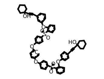 O=S(=O)(c1ccc(Oc2ccc(Oc3ccc(S(=O)(=O)c4ccccc4Oc4cccc(C#CC5(O)CCCCC5)c4)cc3)cc2)cc1)c1ccccc1Oc1ccc(C#CC2(O)CCCCC2)cc1